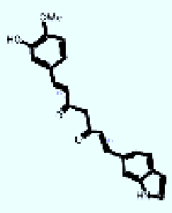 COc1ccc(/C=C/C(=O)CC(=O)/C=C/c2ccc3cc[nH]c3c2)cc1O